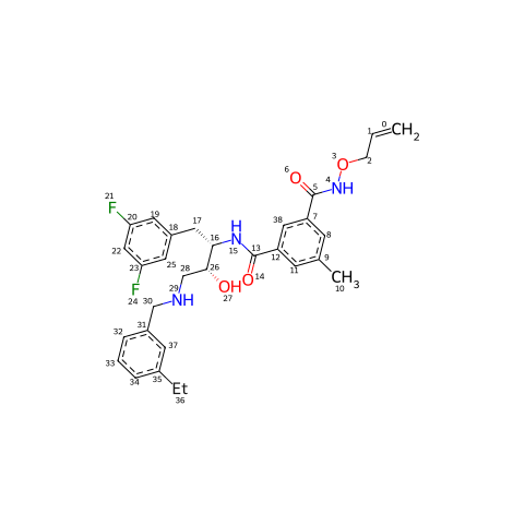 C=CCONC(=O)c1cc(C)cc(C(=O)N[C@@H](Cc2cc(F)cc(F)c2)[C@H](O)CNCc2cccc(CC)c2)c1